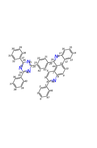 c1ccc(-c2ccc3c(ccc4c5ccccc5nc(-c5ccc(-c6nc(-c7ccccc7)nc(-c7ccccc7)n6)cc5)c34)n2)cc1